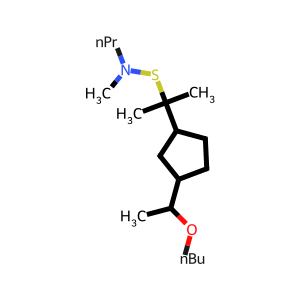 CCCCOC(C)C1CCC(C(C)(C)SN(C)CCC)C1